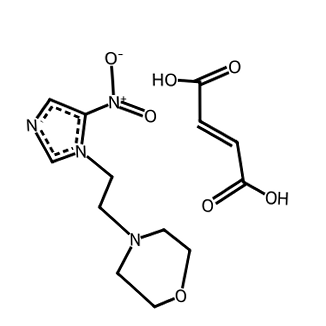 O=C(O)C=CC(=O)O.O=[N+]([O-])c1cncn1CCN1CCOCC1